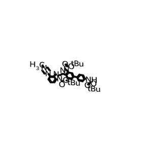 CN1CCN(c2cccc3c2nc(-c2nn(C(=O)OC(C)(C)C)c4cc(-c5ccc(NC(=O)OC(C)(C)C)cc5)ccc24)n3C(=O)OC(C)(C)C)CC1